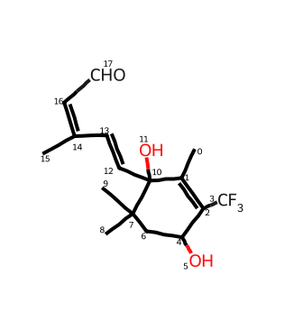 CC1=C(C(F)(F)F)C(O)CC(C)(C)C1(O)/C=C/C(C)=C\C=O